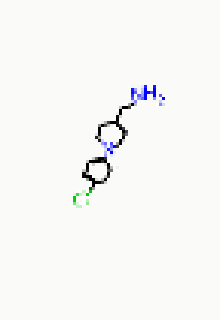 NCCC1CCN(C2=CC=C(Cl)C[CH]2)CC1